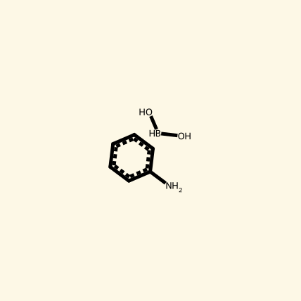 Nc1ccccc1.OBO